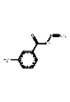 C=NNC(=O)c1cccc(C)c1